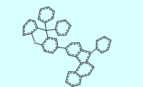 c1ccc(-n2c3ccc(-c4ccc5c(c4)C(c4ccccc4)(c4ccccc4)c4ccccc4O5)cc3c3c4ccccc4ccc32)cc1